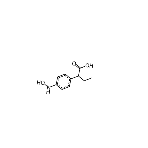 CCC(C(=O)O)c1ccc(NO)cc1